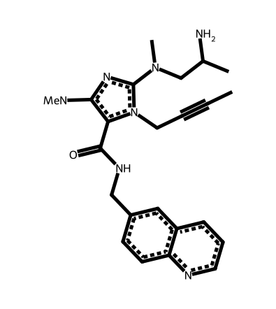 CC#CCn1c(N(C)CC(C)N)nc(NC)c1C(=O)NCc1ccc2ncccc2c1